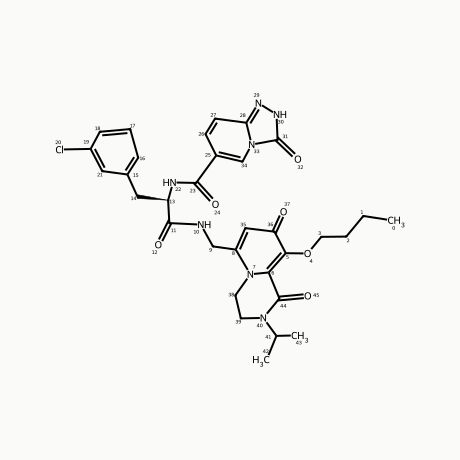 CCCCOc1c2n(c(CNC(=O)[C@@H](Cc3cccc(Cl)c3)NC(=O)c3ccc4n[nH]c(=O)n4c3)cc1=O)CCN(C(C)C)C2=O